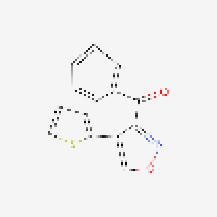 O=C(c1ccccc1)c1nocc1-c1cccs1